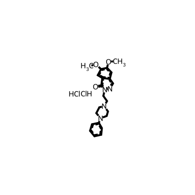 COc1cc2cnn(CCN3CCN(c4ccccc4)CC3)c(=O)c2cc1OC.Cl.Cl